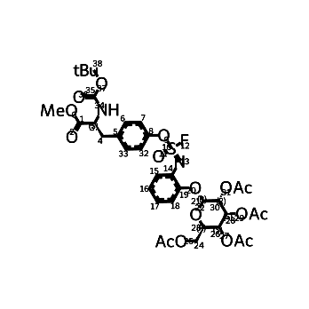 COC(=O)[C@H](Cc1ccc(OS(=O)(F)=Nc2ccccc2O[C@H]2O[C@H](COC(C)=O)[C@H](OC(C)=O)[C@H](OC(C)=O)[C@H]2OC(C)=O)cc1)NC(=O)OC(C)(C)C